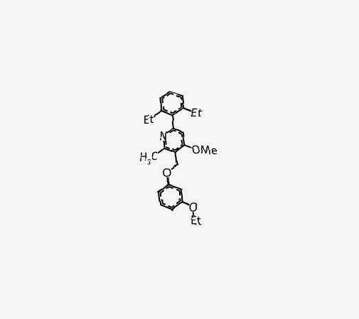 CCOc1cccc(OCc2c(OC)cc(-c3c(CC)cccc3CC)nc2C)c1